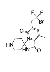 Cc1cc(CC(F)(F)Br)c(=O)n2c1C(=O)NC21CCNCC1